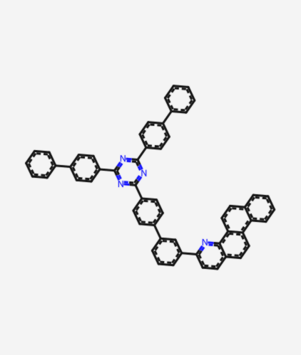 c1ccc(-c2ccc(-c3nc(-c4ccc(-c5ccccc5)cc4)nc(-c4ccc(-c5cccc(-c6ccc7ccc8c9ccccc9ccc8c7n6)c5)cc4)n3)cc2)cc1